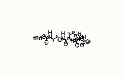 CC(C)(C)OC(=O)NCCONC(=O)[C@@H]1CC[C@@H]2CN1C(=O)N2O[SH](=O)=O